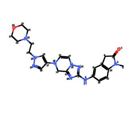 CN1C(=O)Cc2cc(Nc3nc4n(n3)C=CN(c3cnn(CCN5CCOCC5)c3)C4)ccc21